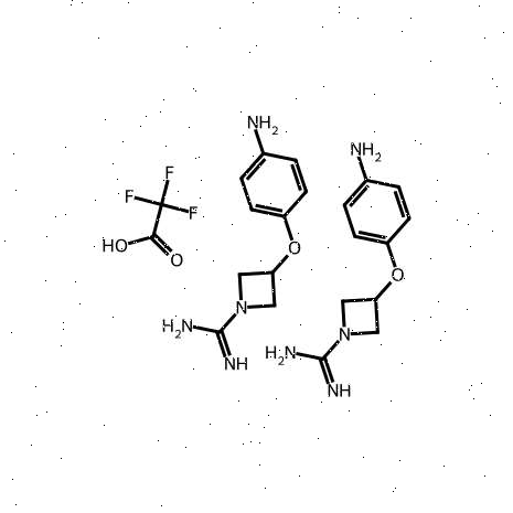 N=C(N)N1CC(Oc2ccc(N)cc2)C1.N=C(N)N1CC(Oc2ccc(N)cc2)C1.O=C(O)C(F)(F)F